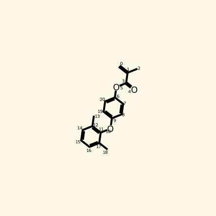 C=C(C)C(=O)Oc1ccc(Oc2c(C)cccc2C)cc1